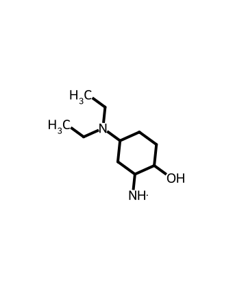 CCN(CC)C1CCC(O)C([NH])C1